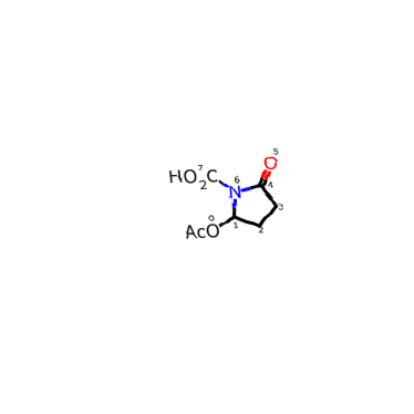 CC(=O)OC1CCC(=O)N1C(=O)O